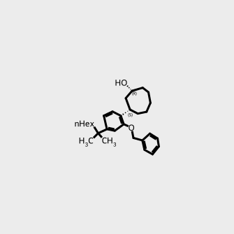 CCCCCCC(C)(C)c1ccc([C@H]2CCCCC[C@@H](O)C2)c(OCc2ccccc2)c1